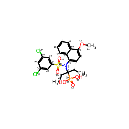 CCC(CC)(N(c1ccc(OC)c2ccccc12)S(=O)(=O)c1cc(Cl)cc(Cl)c1)P(=O)(O)O